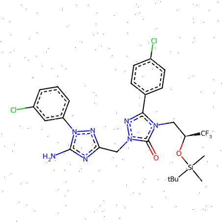 CC(C)(C)[Si](C)(C)O[C@@H](Cn1c(-c2ccc(Cl)cc2)nn(Cc2nc(N)n(-c3cccc(Cl)c3)n2)c1=O)C(F)(F)F